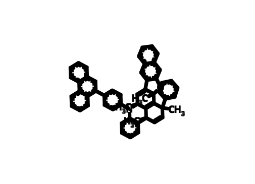 CC12Oc3cc4ccccc4cc3C1=CC1(C)C3=C2C(C)(c2ccccc2)C=CC3(C)c2ccccc2N1c1ccc(-c2cc3ccccc3c3ccccc23)cc1